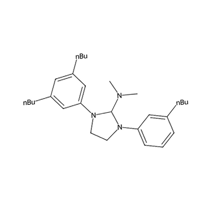 CCCCc1cccc(N2CCN(c3cc(CCCC)cc(CCCC)c3)C2N(C)C)c1